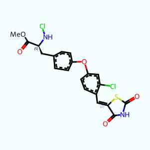 COC(=O)[C@H](Cc1ccc(Oc2ccc(/C=C3\SC(=O)NC3=O)c(Cl)c2)cc1)NCl